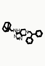 c1ccc(C(CN2CCc3c(ncnc3NCC34CC5CC(CC(C5)C3)C4)C2)c2ccccc2)cc1